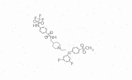 CS(=O)(=O)c1ccc([C@@H](CCN2CCC(CNS(=O)(=O)c3ccc(NS(=O)(=O)C(F)(F)F)cc3)CC2)c2cc(F)cc(F)c2)cc1